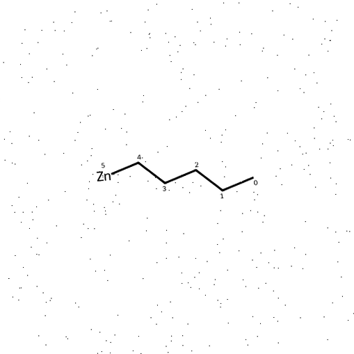 CCCC[CH2][Zn]